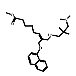 COC(=O)CCCC/C=C(/CNCC(C)(C)CN(C)C)COc1cccc2ccccc12